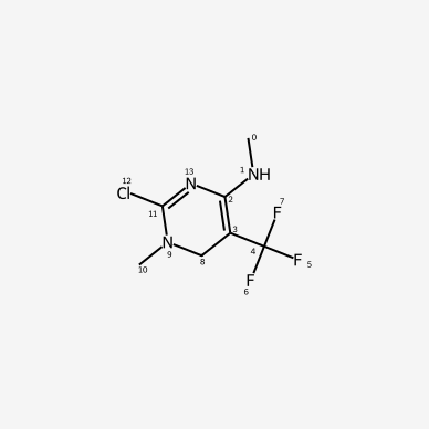 CNC1=C(C(F)(F)F)CN(C)C(Cl)=N1